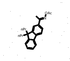 CCCC1(CCC)c2ccccc2-c2ccc(/C(C)=N/OC(C)=O)cc21